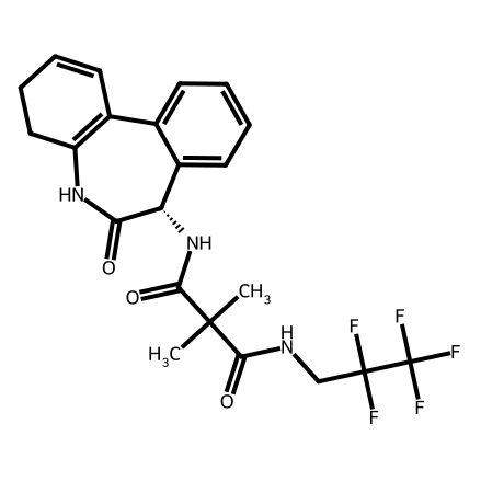 CC(C)(C(=O)NCC(F)(F)C(F)(F)F)C(=O)N[C@@H]1C(=O)NC2=C(C=CCC2)c2ccccc21